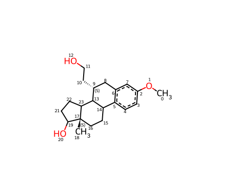 COc1ccc2c(c1)C[C@@H](CCO)C1C2CC[C@]2(C)C(O)CCC12